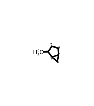 CC1CCC2C[C]12